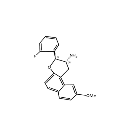 COc1ccc2ccc3c(c2c1)C[C@@H](N)[C@H](c1ccccc1F)O3